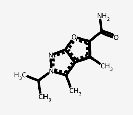 Cc1c(C(N)=O)oc2nn(C(C)C)c(C)c12